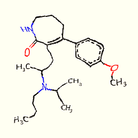 CCCN(C(C)C)C(C)CC1=C(c2ccc(OC)cc2)CCCNC1=O